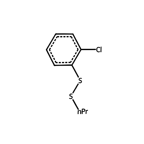 CCCSSc1ccccc1Cl